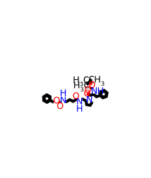 CC(C)(C)OC(=O)NC(Cc1ccccc1)C(=O)N1CCCC1CNC(=O)CCCNC(=O)OCc1ccccc1